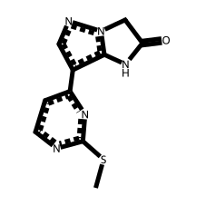 CSc1nccc(-c2cnn3c2NC(=O)C3)n1